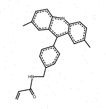 C=CC(=O)NCc1ccc(-c2c3cc(C)ccc3nc3ccc(C)cc23)cc1